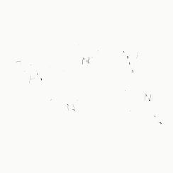 C=C(Nc1cncc(-c2cc3c(-c4cc5cccnc5[nH]4)n[nH]c3cn2)c1)C1CCCCC1